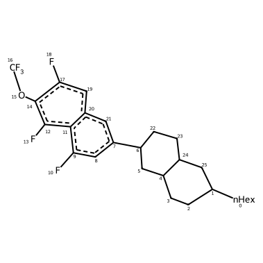 CCCCCCC1CCC2CC(c3cc(F)c4c(F)c(OC(F)(F)F)c(F)cc4c3)CCC2C1